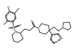 Cc1cc(S(=O)(=O)N2CCCCC2CCC(=O)N2CCC(CCN3CCCC3)(c3cccnc3)CC2)c(C)cc1Cl